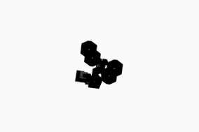 CCN1CCCC1CC(c1cccc2ccccc12)N(C)c1ccc2ccccc2c1